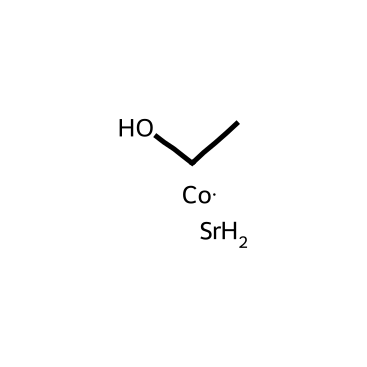 CCO.[Co].[SrH2]